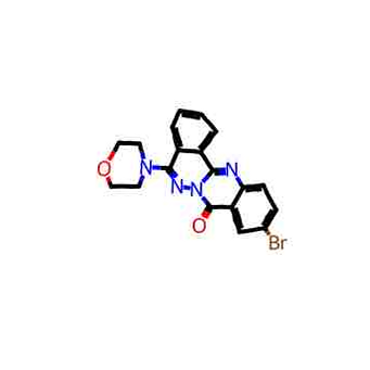 O=c1c2cc(Br)ccc2nc2c3ccccc3c(N3CCOCC3)nn12